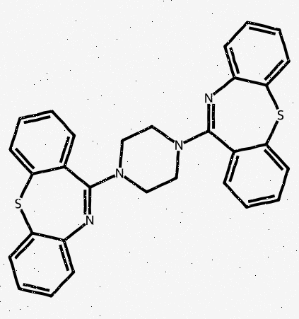 c1ccc2c(c1)N=C(N1CCN(C3=Nc4ccccc4Sc4ccccc43)CC1)c1ccccc1S2